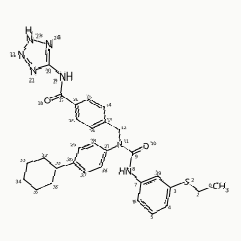 CCSc1cccc(NC(=O)N(Cc2ccc(C(=O)Nc3nn[nH]n3)cc2)c2ccc(C3CCCCC3)cc2)c1